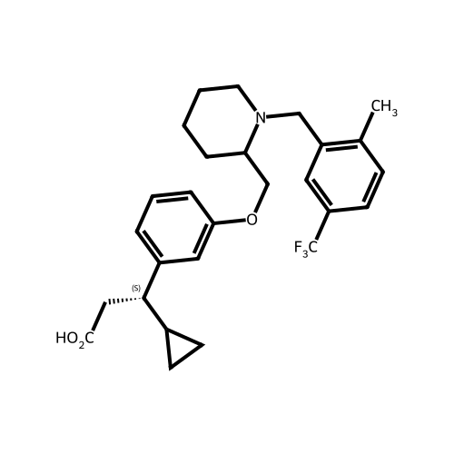 Cc1ccc(C(F)(F)F)cc1CN1CCCCC1COc1cccc([C@@H](CC(=O)O)C2CC2)c1